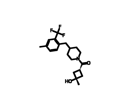 Cc1ccc(CC2CCN(C(=O)[C@H]3C[C@@](C)(O)C3)CC2)c(C(F)(F)F)c1